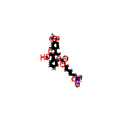 CS(=O)(=O)c1ccc(C(COC(=O)OCCCCCO[N+](=O)[O-])=C(C(=O)O)c2ccccc2)cc1